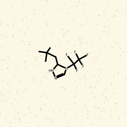 CC(C)(C)CC1NN=CN1C(F)(F)C(F)(F)F